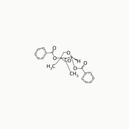 CC1CC(C)C2(OC(=O)c3ccccc3)COC(OC2)[C@@H]1OC(=O)c1ccccc1